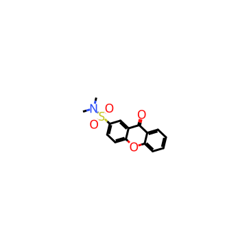 CN(C)S(=O)(=O)c1ccc2oc3ccccc3c(=O)c2c1